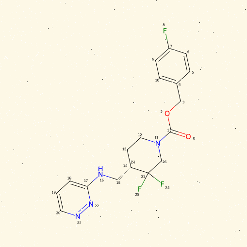 O=C(OCc1ccc(F)cc1)N1CC[C@@H](CNc2cccnn2)C(F)(F)C1